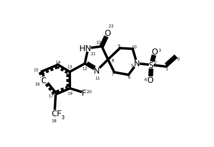 C=CS(=O)(=O)N1CCC2(CC1)N=C(c1cccc(C(F)(F)F)c1F)NC2=O